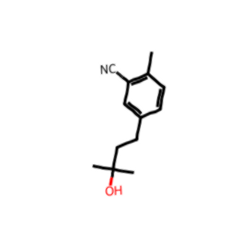 Cc1ccc(CCC(C)(C)O)cc1C#N